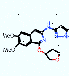 COc1cc2cc(Nc3cc(C)[nH]n3)nc(O[C@H]3CCOC3)c2cc1OC